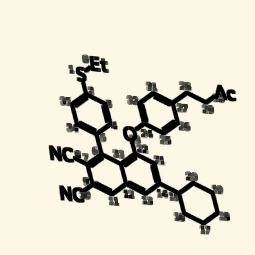 CCSc1ccc(-c2c(C#N)c(C#N)cc3cc(C4CCCCC4)cc(Oc4ccc(CCC(C)=O)cc4)c23)cc1